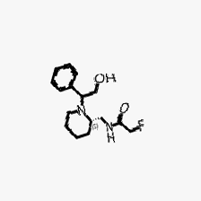 O=C(CF)NC[C@@H]1CCCCN1C(CO)c1ccccc1